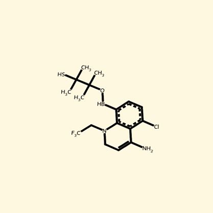 CC(C)(S)C(C)(C)OBc1ccc(Cl)c2c1N(CC(F)(F)F)CC=C2N